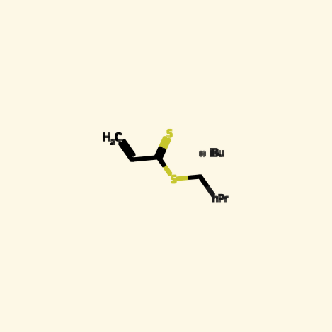 C=CC(=S)SC(CCC)[C@H](C)CC